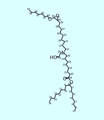 CCCCCCCCC(CCCCCCCC)OC(=O)CCCCCCCN(CCO)CCCCCCCCCC1OC1OCCCCCCC